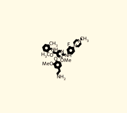 COc1cc(CCN)cc(OC)c1Oc1nc(Nc2ccc(N3CCN(C)CC3)c(F)c2)ncc1C(=O)Nc1c(C)cccc1C